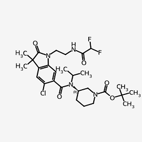 CC(C)N(C(=O)c1cc2c(cc1Cl)C(C)(C)C(=O)N2CCNC(=O)C(F)F)[C@@H]1CCCN(C(=O)OC(C)(C)C)C1